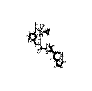 O=C(NCc1cc(NS(=O)(=O)C2CC2)ccn1)c1ncc(-c2cnn3cccc3c2)s1